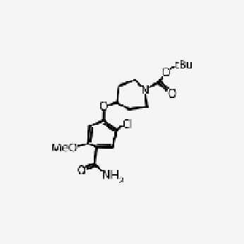 COc1cc(OC2CCN(C(=O)OC(C)(C)C)CC2)c(Cl)cc1C(N)=O